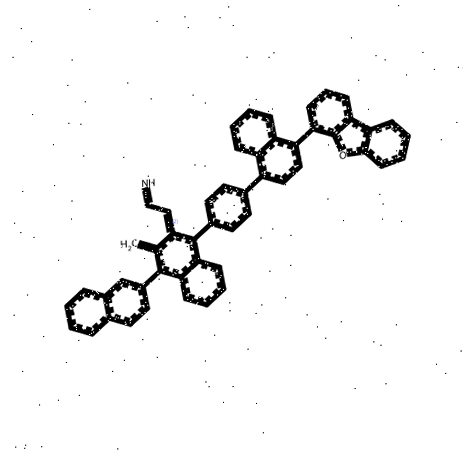 C=c1c(-c2ccc3ccccc3c2)c2ccccc2c(-c2ccc(-c3ccc(-c4cccc5c4oc4ccccc45)c4ccccc34)cc2)/c1=C/C=N